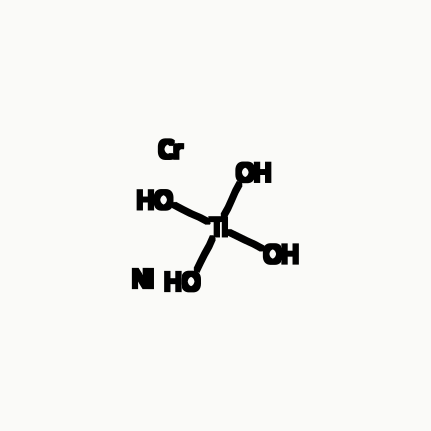 [Cr].[Ni].[OH][Ti]([OH])([OH])[OH]